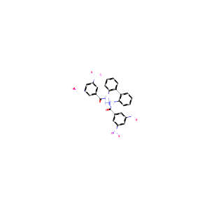 O=C(Nc1ccccc1-c1ccccc1NC(=O)c1cc([N+](=O)[O-])cc([N+](=O)[O-])c1)c1cc([N+](=O)[O-])cc([N+](=O)[O-])c1